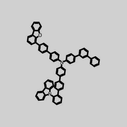 c1ccc(-c2cccc(-c3ccc(N(c4ccc(-c5ccc(-c6ccccc6-n6c7ccccc7c7ccccc76)cc5)cc4)c4ccc(-c5ccc(-c6cccc7c6oc6ccccc67)cc5)cc4)cc3)c2)cc1